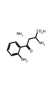 N.Nc1ccccc1C(=O)CC(N)C(=O)O